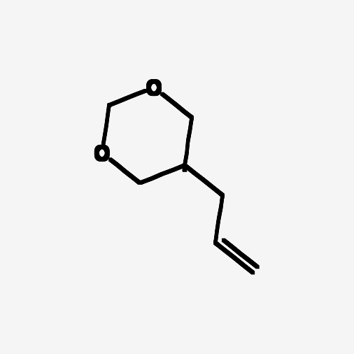 C=CC[C]1COCOC1